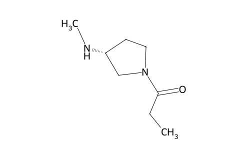 CCC(=O)N1CC[C@@H](NC)C1